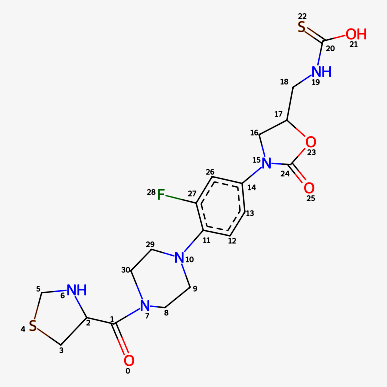 O=C(C1CSCN1)N1CCN(c2ccc(N3CC(CNC(O)=S)OC3=O)cc2F)CC1